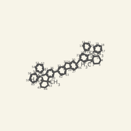 CC12CCCCC1(C)[Si](c1ccccc1)(c1ccccc1)c1ccc(-c3ccc4c(c3)Cc3cc(-c5ccc6c(c5)C5(C)CCCCC5(C)[Si]6(c5ccccc5)c5ccccc5)ccc3-4)cc12